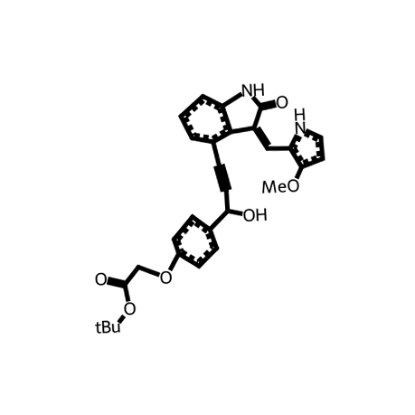 COc1cc[nH]c1C=C1C(=O)Nc2cccc(C#CC(O)c3ccc(OCC(=O)OC(C)(C)C)cc3)c21